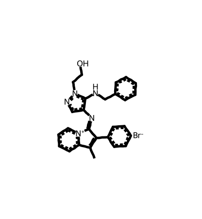 CC1=C(c2ccccc2)/C(=N/c2cnn(CCO)c2NCc2ccccc2)[n+]2ccccc21.[Br-]